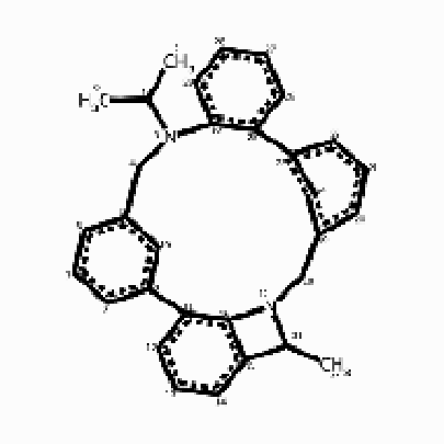 CC(C)N1Cc2cccc(c2)-c2cccc3c2N(Cc2cccc(c2)-c2ccccc21)C3C